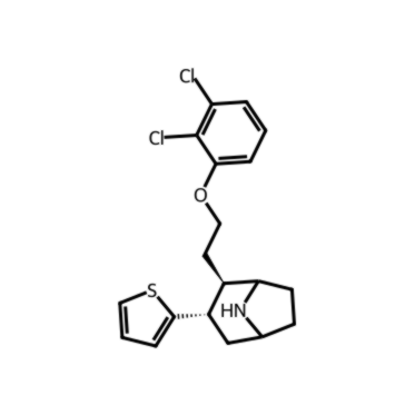 Clc1cccc(OCC[C@H]2C3CCC(C[C@@H]2c2cccs2)N3)c1Cl